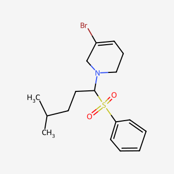 CC(C)CCC(N1CCC=C(Br)C1)S(=O)(=O)c1ccccc1